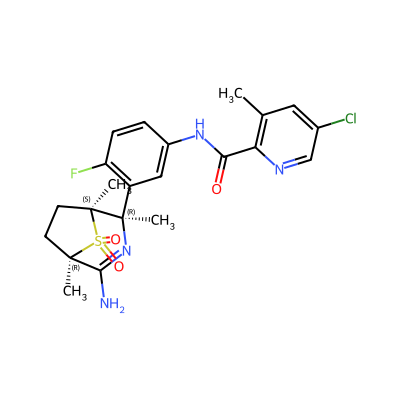 Cc1cc(Cl)cnc1C(=O)Nc1ccc(F)c([C@@]2(C)N=C(N)[C@@]3(C)CC[C@]2(C)S3(=O)=O)c1